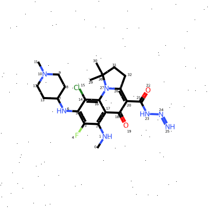 CNc1c(F)c(NC2CCN(C)CC2)c(Cl)c2c1c(=O)c(C(=O)NN=N)c1n2C(C)(C)CC1